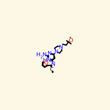 C=C=C(/N=c1/cc(N2CCN(CCC(C)(C)OC)CC2)nc(N)[nH]1)c1ccco1